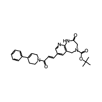 CC(C)(C)OC(=O)N1CC(=O)Nc2ncc(/C=C/C(=O)N3CC=C(c4ccccc4)CC3)cc2C1